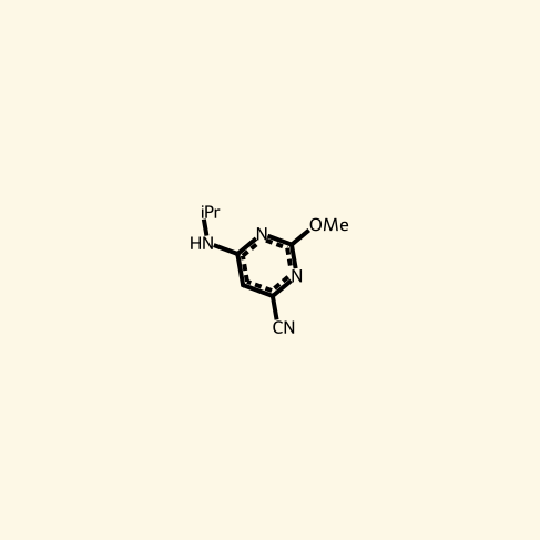 COc1nc(C#N)cc(NC(C)C)n1